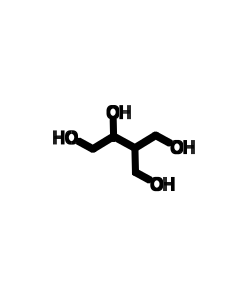 OC[C](O)C(CO)CO